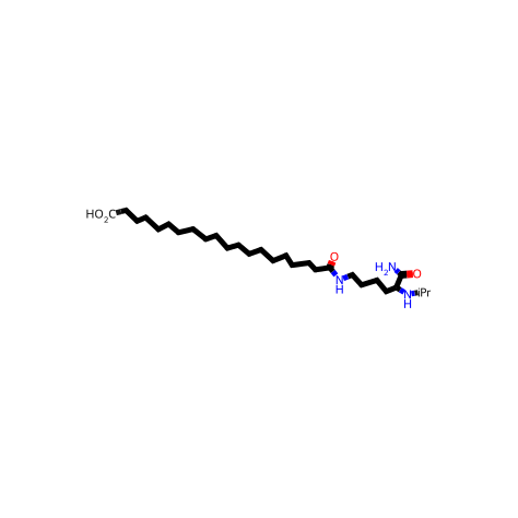 CC(C)NC(CCCCNC(=O)CCCCCCCCCCCCCCCCCCC(=O)O)C(N)=O